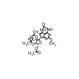 CSc1nc2c3c(cn(C4O[C@H](COC(C)=O)[C@@H](OC(C)=O)C4(C)OC(C)=O)c3n1)NC(=O)CN2